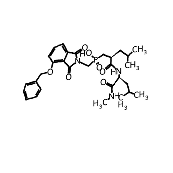 CNC(=O)[C@H](CC(C)C)NC(=O)[C@H](CC(C)C)CP(=O)(O)CN1C(=O)c2cccc(OCc3ccccc3)c2C1=O